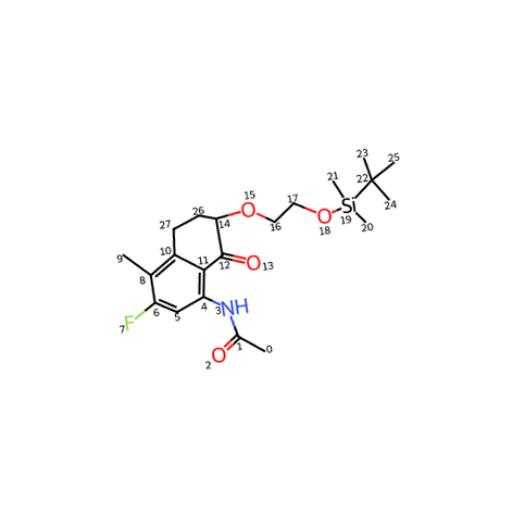 CC(=O)Nc1cc(F)c(C)c2c1C(=O)C(OCCO[Si](C)(C)C(C)(C)C)CC2